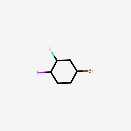 FC1CC(Br)CCC1I